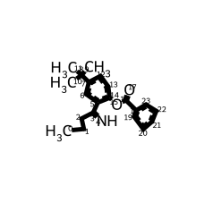 CCCC(=N)c1cc(C(C)(C)C)ccc1OC(=O)c1ccccc1